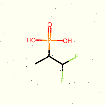 CC(C(F)F)P(=O)(O)O